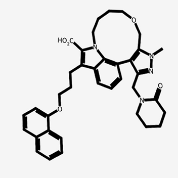 Cn1nc(CN2CCCCC2=O)c2c1COCCCCn1c(C(=O)O)c(CCCOc3cccc4ccccc34)c3cccc-2c31